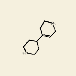 C1=C(C2CCNCC2)CCNC1